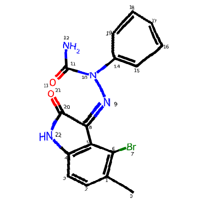 Cc1ccc2c(c1Br)C(=NN(C(N)=O)c1ccccc1)C(=O)N2